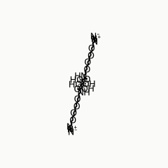 [N-]=[N+]=NCCOCCOCCOCCOCCNC(=O)[C@@H](O)[C@H](O)[C@H](O)[C@@H](O)C(=O)NCCOCCOCCOCCOCCN=[N+]=[N-]